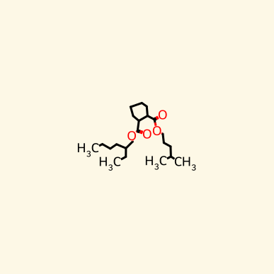 CCCCC(CC)COC(=O)C1CCCCC1C(=O)OCCCC(C)C